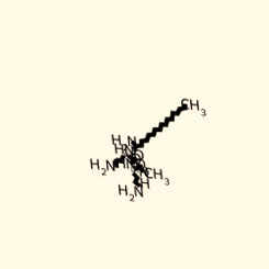 CCCCCCCCCCCCCCCCC(N)C(=O)N[C@@H](CCCCN)C(=O)N[C@@H](CCCCN)C(=O)NC